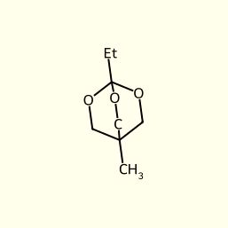 CCC12OCC(C)(CO1)CO2